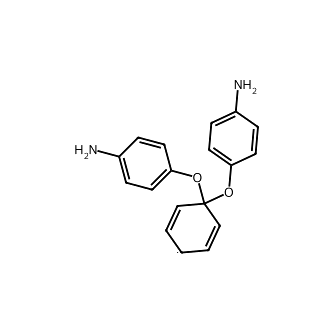 Nc1ccc(OC2(Oc3ccc(N)cc3)C=C[CH]C=C2)cc1